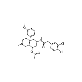 COc1cccc(C23CCN(C)CC2C(OC(C)=O)CC(NC(=O)Cc2ccc(Cl)c(Cl)c2)C3)c1